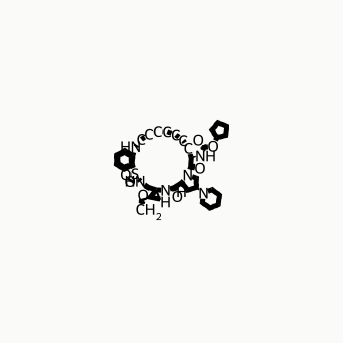 C=C[C@@H]1C[C@@]12NC(=O)[C@@H]1C[C@@H](N3CCCCC3)CN1C(=O)[C@@H](NC(=O)OC1CCCC1)CCCCCCCNc1ccccc1S(=O)(=O)NC2=O